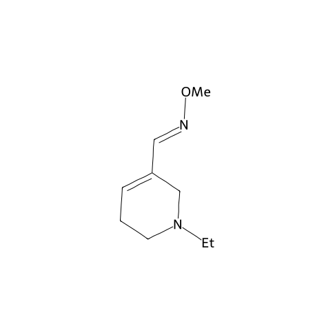 CCN1CCC=C(C=NOC)C1